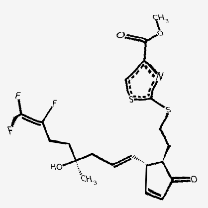 COC(=O)c1csc(SCC[C@H]2C(=O)C=C[C@@H]2C=CC[C@@](C)(O)CCC(F)=C(F)F)n1